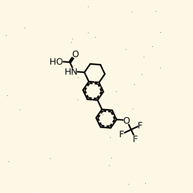 O=C(O)NC1CCCc2cc(-c3cccc(OC(F)(F)F)c3)ccc21